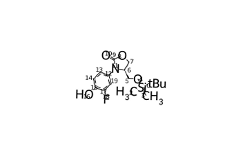 CC(C)(C)[Si](C)(C)OC[C@@H]1COC(=O)N1c1ccc(O)c(F)c1